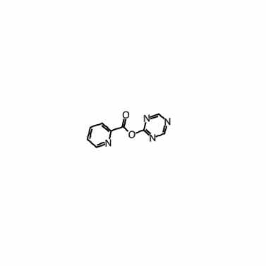 O=C(Oc1ncncn1)c1ccccn1